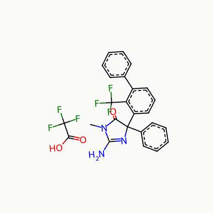 CN1C(=O)C(c2ccccc2)(c2cccc(-c3ccccc3)c2C(F)(F)F)N=C1N.O=C(O)C(F)(F)F